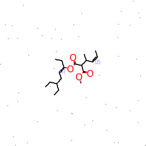 C/C=C\C(C)C(C(=O)OC)C(=O)O/C(=C\CC(CC)CC)CC